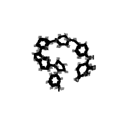 O=C1CCC(Nc2ccc(CN3CCN(c4cccc(-c5cnc6ccc(N7CCC[C@@H]7c7cccc(F)c7)nn56)n4)CC3)cc2)C(=O)N1